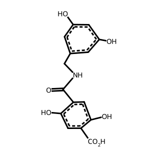 O=C(O)c1cc(O)c(C(=O)NCc2cc(O)cc(O)c2)cc1O